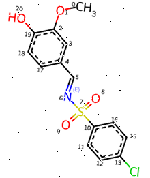 COc1cc(/C=N/S(=O)(=O)c2ccc(Cl)cc2)ccc1O